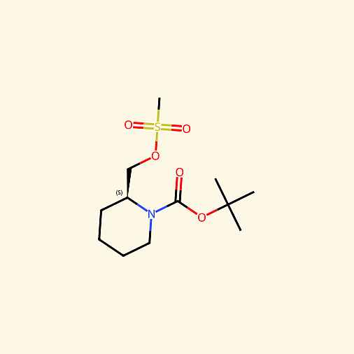 CC(C)(C)OC(=O)N1CCCC[C@H]1COS(C)(=O)=O